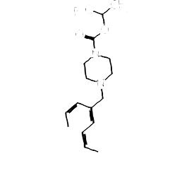 C\C=C/C=C(\C=C/C)CN1CCN(C(=O)OC(C(F)(F)F)C(F)(F)F)CC1